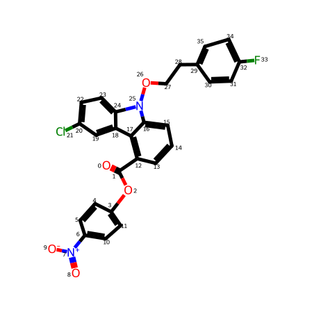 O=C(Oc1ccc([N+](=O)[O-])cc1)c1cccc2c1c1cc(Cl)ccc1n2OCCc1ccc(F)cc1